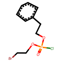 O=P(Cl)(OCCBr)OCCc1ccccc1